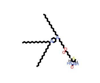 CCCCCCCCCCCCCCC(CCCCCCCCCCCCCC)N1CCC(N(CCCCCCCCCCCCCC)CCCCCCOC(=O)CCCC[C@@H]2SC[C@@H]3NC(=O)N[C@@H]32)CC1